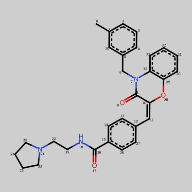 Cc1cccc(CN2C(=O)C(=Cc3ccc(C(=O)NCCN4CCCC4)cc3)Oc3ccccc32)c1